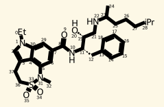 CCn1cc2c3c(cc(C(=O)N[C@@H](Cc4ccccc4)[C@H](O)CNC(C)CCCC(C)C)cc31)N(C)S(=O)(=O)CC2